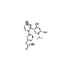 CC(C)c1cc(/C(=N/N)N(C=S)c2ccc3c(c2)CC(=O)N3)c(O)cc1O